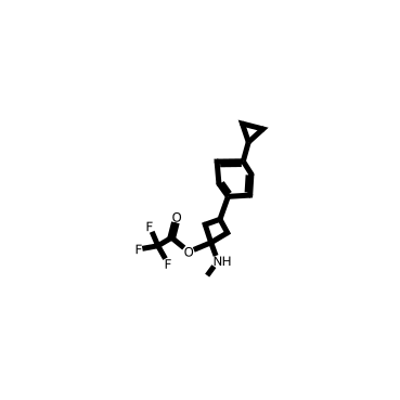 CNC1(OC(=O)C(F)(F)F)CC(c2ccc(C3CC3)cc2)C1